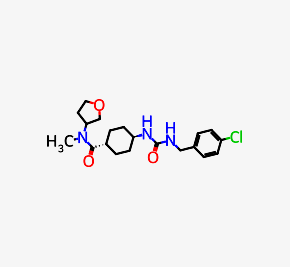 CN(C(=O)[C@H]1CC[C@H](NC(=O)NCc2ccc(Cl)cc2)CC1)C1CCOC1